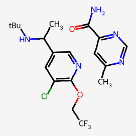 CC(NC(C)(C)C)c1cnc(OCC(F)(F)F)c(Cl)c1.Cc1cc(C(N)=O)ncn1